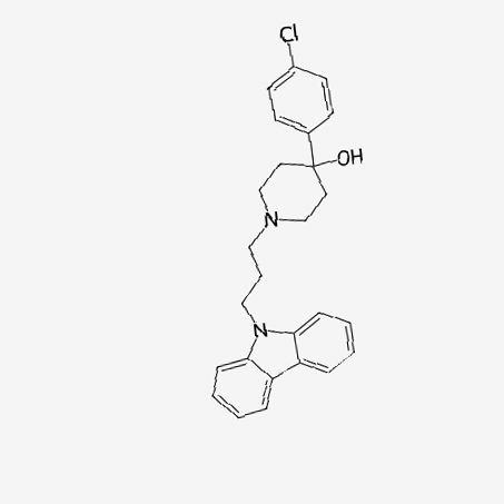 OC1(c2ccc(Cl)cc2)CCN(CCCn2c3ccccc3c3ccccc32)CC1